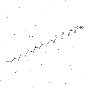 C=CCCCCCCCCCCCCCCCCCCC=O